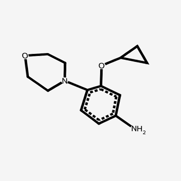 Nc1ccc(N2CCOCC2)c(OC2CC2)c1